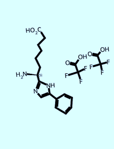 N[C@@H](CCCCCC(=O)O)c1ncc(-c2ccccc2)[nH]1.O=C(O)C(F)(F)F.O=C(O)C(F)(F)F